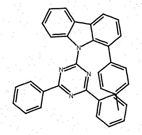 Cc1ccc(-c2cccc3c4ccccc4n(-c4nc(-c5ccccc5)nc(-c5ccccc5)n4)c23)cc1